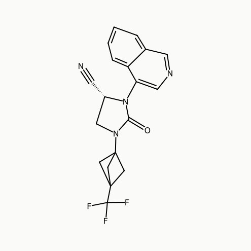 N#C[C@H]1CN(C23CC(C(F)(F)F)(C2)C3)C(=O)N1c1cncc2ccccc12